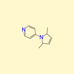 CC1C=CC(C)N1c1ccncc1